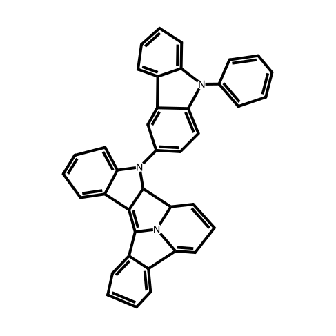 C1=CC2C3C(=c4c5ccccc5c(n42)=C1)c1ccccc1N3c1ccc2c(c1)c1ccccc1n2-c1ccccc1